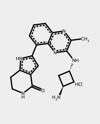 Cc1nc2cccc(-c3cc4c([nH]3)CCNC4=O)c2nc1N[C@H]1C[C@H](N)C1.Cl